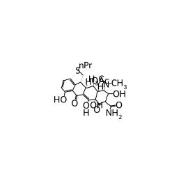 CCCSC[C@H]1c2cccc(O)c2C(=O)C2=C(O)[C@]3(O)C(=O)C(C(N)=O)C(O)[C@@H](N(C)C)[C@@H]3[C@@H](OC(C)=O)[C@@H]21